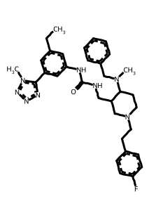 CCc1cc(NC(=O)NCC2CN(CCc3ccc(F)cc3)CCC2N(C)Cc2ccccc2)cc(-c2nnnn2C)c1